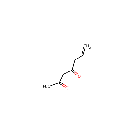 C=C[CH]C(=O)CC(C)=O